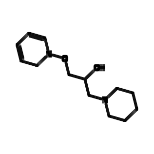 OC(CON1C=CC=CC1)CN1CCCCC1